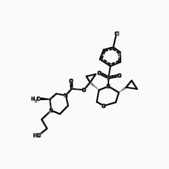 C[C@H]1CN(C(=O)OC2([C@H]3COC[C@@H](C4CC4)N3S(=O)(=O)c3ccc(Cl)cc3)CC2)CCN1CCO